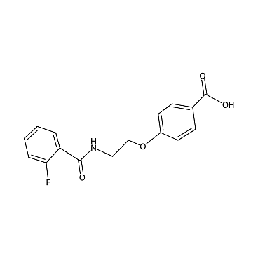 O=C(O)c1ccc(OCCNC(=O)c2ccccc2F)cc1